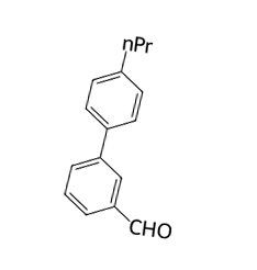 CCCc1ccc(-c2cccc(C=O)c2)cc1